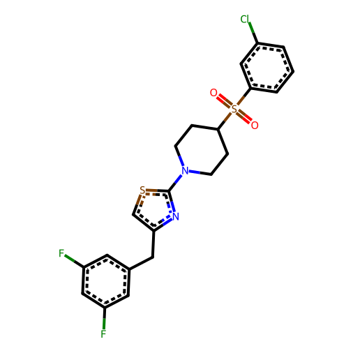 O=S(=O)(c1cccc(Cl)c1)C1CCN(c2nc(Cc3cc(F)cc(F)c3)cs2)CC1